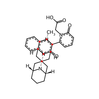 C[C@@H]1C[C@@H]2C[C@H](C1)C[C@@H](N1[C@@H]3CCC[C@H]1C[C@@H](n1c(=O)c(-c4cccc(=O)n4CC(=O)O)nc4ccccc41)C3)C2